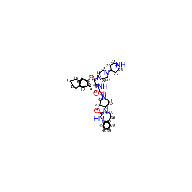 O=C(N[C@H](Cc1ccc2c(c1)CCCC2)C(=O)N1CCN(C2CCNCC2)CC1)ON1CCC(N2CCc3ccccc3NC2=O)CC1